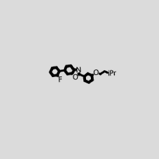 CC(C)CCOc1cccc(-c2nc3ccc(-c4ccccc4F)cc3o2)c1